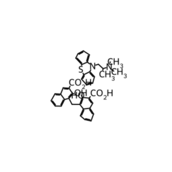 CC(CN1c2ccccc2Sc2ccccc21)N(C)C.O=C(O)c1cc2ccccc2c(Cc2c(O)c(C(=O)O)cc3ccccc23)c1O